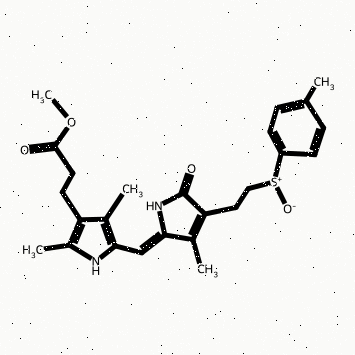 COC(=O)CCc1c(C)[nH]c(/C=C2\NC(=O)C(CC[S+]([O-])c3ccc(C)cc3)=C2C)c1C